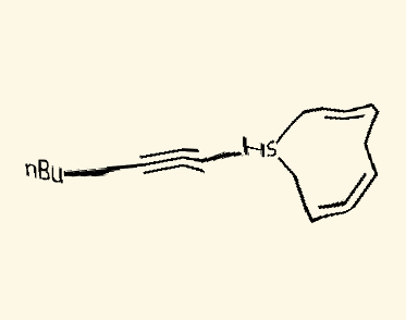 CCCCC#C[SH]1C=CC=C1